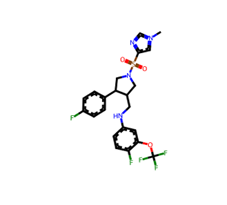 Cn1cnc(S(=O)(=O)N2CC(CNc3ccc(F)c(OC(F)(F)F)c3)C(c3ccc(F)cc3)C2)c1